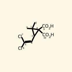 CC1(C)C(C=C(Cl)Cl)C1(C(=O)O)C(=O)O